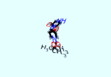 CC(C)(C)OC(=O)N1CCC2(CC1)CN1C(=O)CNCC1O2